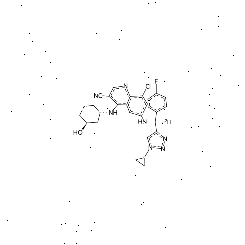 [2H][C@](Nc1cc(Cl)c2ncc(C#N)c(N[C@H]3CCC[C@H](O)C3)c2c1)(c1ccc(F)cc1)c1cn(C2CC2)nn1